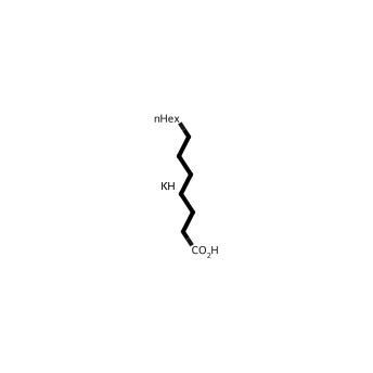 CCCCCCCCCCCCC(=O)O.[KH]